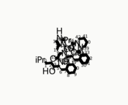 CC(C)CC[C@H](O)[C@H](CC1CCCCC1)NC(=O)[C@H](Cc1c[nH]cn1)N(C)C(=O)[C@H](Cc1ccccc1)OC(=O)N1CCCCN1C(=O)C(C)C